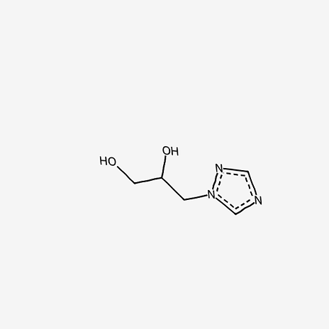 OCC(O)Cn1cncn1